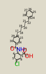 O=C(Nc1ccc(Cl)cc1C(=O)O)c1ccc(CCCCCCc2ccccc2)cc1